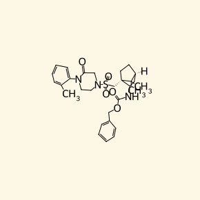 Cc1ccccc1N1CCN(S(=O)(=O)C[C@@]23CC[C@@H](C[C@H]2NC(=O)OCc2ccccc2)C3(C)C)CC1=O